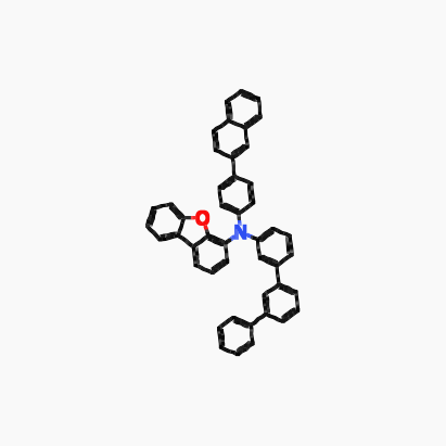 c1ccc(-c2cccc(-c3cccc(N(c4ccc(-c5ccc6ccccc6c5)cc4)c4cccc5c4oc4ccccc45)c3)c2)cc1